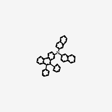 c1ccc(-c2c(-c3ccccc3)c3cc(N(c4ccc5ccccc5c4)c4ccc5ccccc5c4)ccc3c3ccccc23)cc1